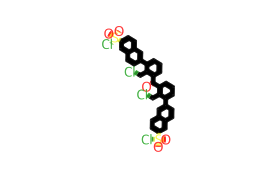 O=C(c1cccc(-c2ccc3cc(S(=O)(=O)Cl)ccc3c2)c1CCl)c1cccc(-c2ccc3cc(S(=O)(=O)Cl)ccc3c2)c1CCl